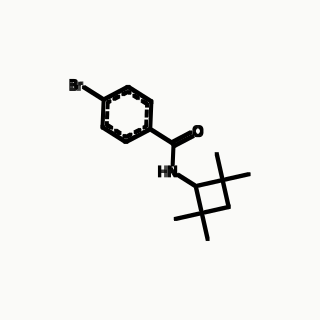 CC1(C)CC(C)(C)C1NC(=O)c1ccc(Br)cc1